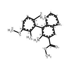 COC(=O)c1cc2nccnc2c(-c2c(C)ccc(OC)c2C)c1N